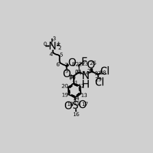 C[N+](C)(C)CCCC(=O)O[C@H](c1ccc(S(C)(=O)=O)cc1)[C@@H](CF)NC(=O)C(Cl)Cl